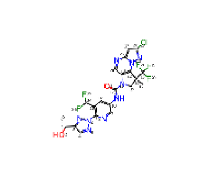 C[C@@H](O)c1cnn(-c2ncc(NC(=O)N3C[C@@](C)(C(F)(F)F)c4c3cnc3cc(Cl)nn43)cc2C(F)F)n1